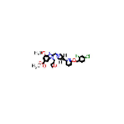 COC(=O)c1cc(OC)c2nc(CN3C[C@@H]4C(c5cccc(OCc6ccc(Cl)cc6F)n5)[C@@H]4C3)n(CC3CCO3)c2c1